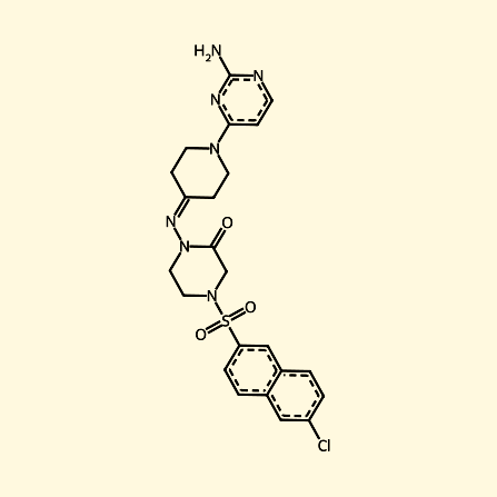 Nc1nccc(N2CCC(=NN3CCN(S(=O)(=O)c4ccc5cc(Cl)ccc5c4)CC3=O)CC2)n1